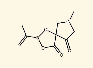 C=C(C)B1OC(=O)C2(CN(C)CC2=O)O1